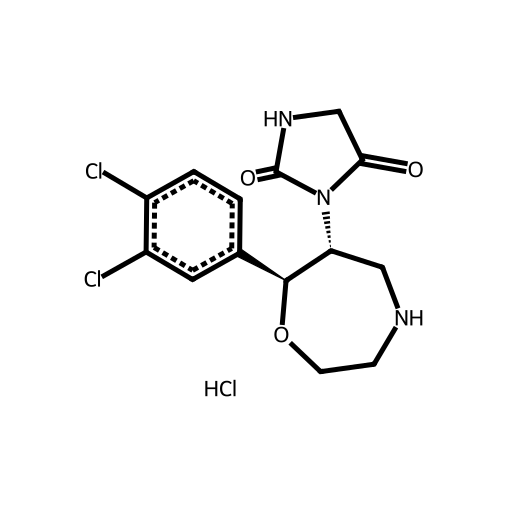 Cl.O=C1CNC(=O)N1[C@@H]1CNCCO[C@H]1c1ccc(Cl)c(Cl)c1